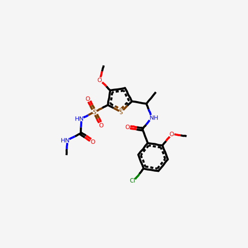 CNC(=O)NS(=O)(=O)c1sc(C(C)NC(=O)c2cc(Cl)ccc2OC)cc1OC